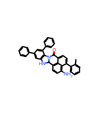 Cc1ccccc1-c1ccc2c3c(ccc(N)c13)C1Nc3cc(-c4ccccc4)cc(-c4ccccc4)c3N1C2=O